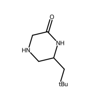 CC(C)(C)CC1CNCC(=O)N1